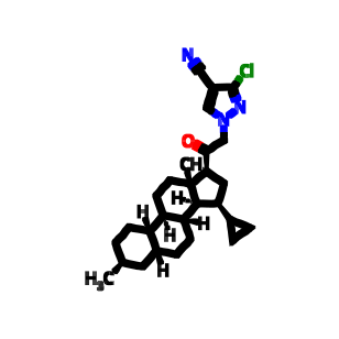 C[C@H]1CC[C@H]2[C@H](CC[C@@H]3[C@@H]2CC[C@@]2(C)[C@H]3[C@H](C3CC3)C[C@@H]2C(=O)Cn2cc(C#N)c(Cl)n2)C1